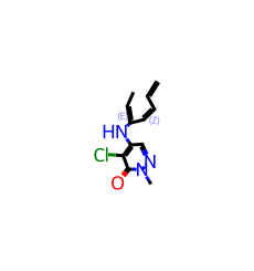 C=C/C=C\C(=C/C)Nc1cnn(C)c(=O)c1Cl